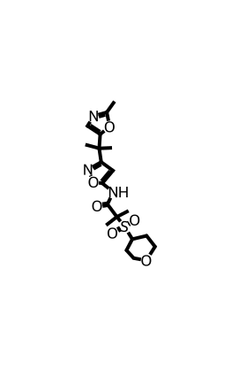 Cc1ncc(C(C)(C)c2cc(NC(=O)C(C)(C)S(=O)(=O)C3CCOCC3)on2)o1